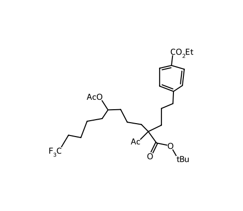 CCOC(=O)c1ccc(CCCC(CCCC(CCCCC(F)(F)F)OC(C)=O)(C(C)=O)C(=O)OC(C)(C)C)cc1